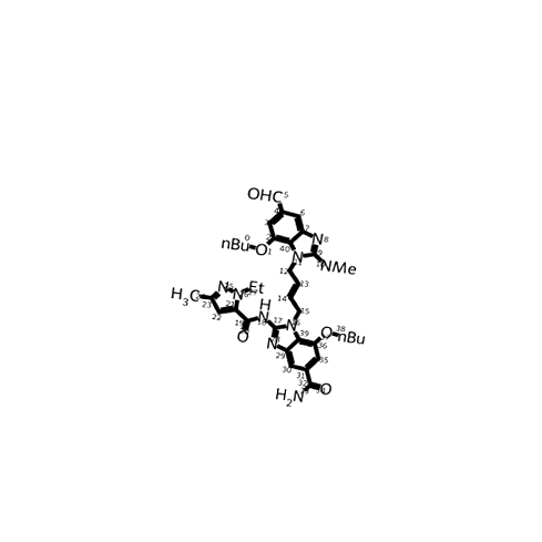 CCCCOc1cc(C=O)cc2nc(NC)n(C/C=C/Cn3c(NC(=O)c4cc(C)nn4CC)nc4cc(C(N)=O)cc(OCCCC)c43)c12